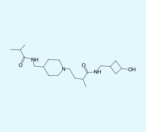 CC(C)C(=O)NCC1CCN(CCC(C)C(=O)NCC2CC(O)C2)CC1